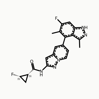 Cc1c(F)cc2[nH]nc(C)c2c1-c1ccn2nc(NC(=O)[C@@H]3C[C@@H]3F)cc2c1